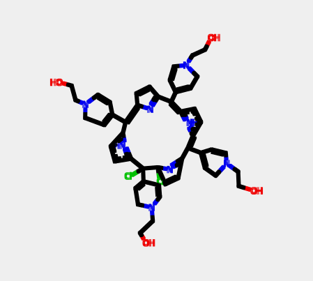 OCCN1C=CC(C2=C3C=CC(=N3)C(C3=CCN(CCO)C=C3)=c3ccc([nH]3)=C(C3=CCN(CCO)C=C3)C3=NC(Cl)(C=C3)C(Cl)(C3=CCN(CCO)C=C3)c3ccc2[nH]3)=CC1